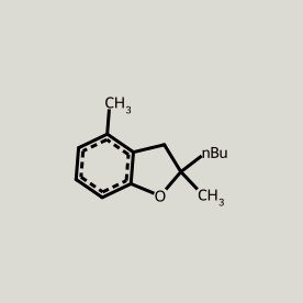 CCCCC1(C)Cc2c(C)cccc2O1